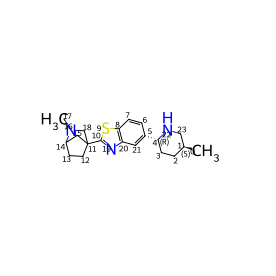 C[C@H]1CC[C@H](c2ccc3sc(C45CCC(C4)N(C)C5)nc3c2)NC1